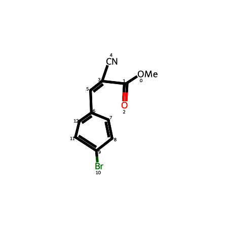 COC(=O)C(C#N)=Cc1ccc(Br)cc1